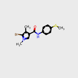 CSc1ccc(NC(=O)c2cn(C)c(Br)c2C)cc1